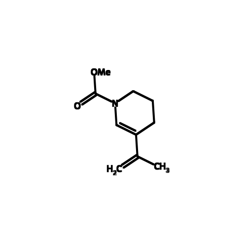 C=C(C)C1=CN(C(=O)OC)CCC1